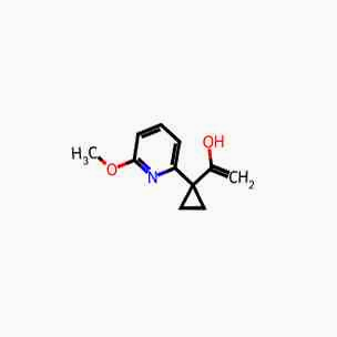 C=C(O)C1(c2cccc(OC)n2)CC1